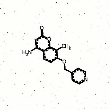 Cc1c(OCc2ccncc2)ccc2c(N)cc(=O)oc12